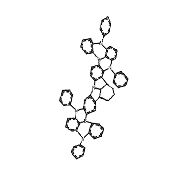 c1ccc(N2c3ccccc3B3c4cc5c(cc4N(c4ccccc4)c4cccc2c43)N2c3ccc4c(c3C3CCCC5C32)N(c2ccccc2)c2cccc3c2B4c2ccccc2N3c2ccccc2)cc1